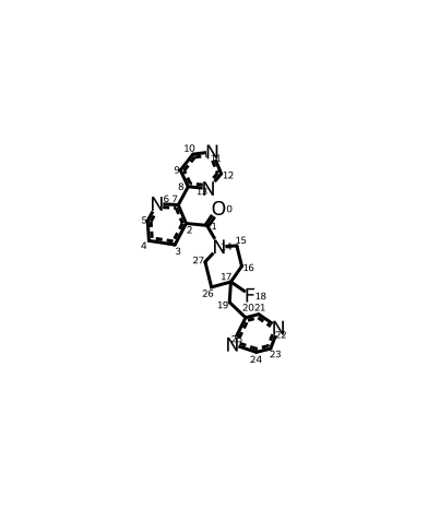 O=C(c1cccnc1-c1ccncn1)N1CCC(F)(Cc2cnccn2)CC1